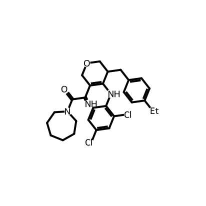 CCc1ccc(CC2COCC(C(=N)C(=O)N3CCCCCC3)=C2Nc2ccc(Cl)cc2Cl)cc1